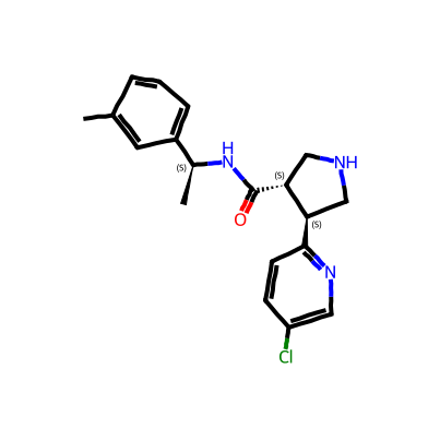 Cc1cccc([C@H](C)NC(=O)[C@@H]2CNC[C@H]2c2ccc(Cl)cn2)c1